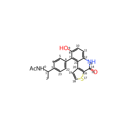 CC(=O)NC(C)c1ccc(-c2c(O)ccc3[nH]c(=O)c4sccc4c23)cc1